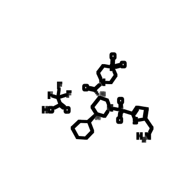 NCc1ccc(S(=O)(=O)N2C[C@@H](C(=O)N3CCS(=O)(=O)CC3)C[C@H](C3CCCCC3)C2)s1.O=C(O)C(F)(F)F